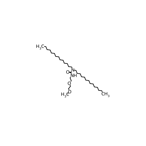 CCCCCCCCCCCCCCN(CCCCCCCCCCCCCC)C(=O)NCCOCCOC